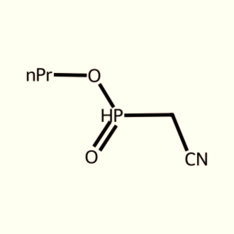 CCCO[PH](=O)CC#N